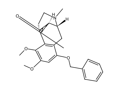 COc1cc(OCc2ccccc2)c2c(c1OC)[C@]13CCN(C)[C@H](C2)[C@@H]1CCC(=O)C3